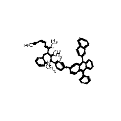 C#C/C=C\C=C(/C)C1CC2C=CC=CC2(C)N=C(c2ccc(-c3ccc4c(C5=CCCC=C5)c5ccccc5c(-c5ccc6ccccc6c5)c4c3)cc2)C1C